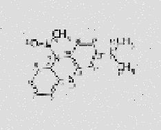 CC(=O)N1c2ccccc2Sc2cc(N(C)C)ccc21